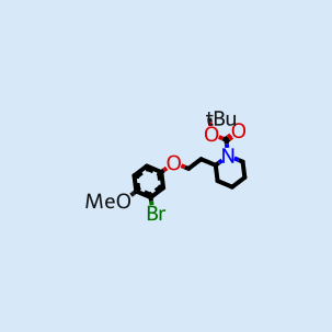 COc1ccc(OCCC2CCCCN2C(=O)OC(C)(C)C)cc1Br